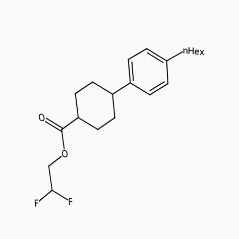 CCCCCCc1ccc(C2CCC(C(=O)OCC(F)F)CC2)cc1